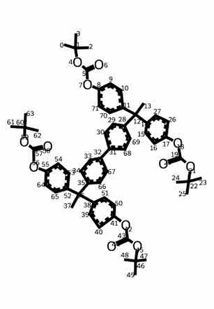 CC(C)(C)OC(=O)Oc1ccc(C(C)(c2ccc(OC(=O)OC(C)(C)C)cc2)c2ccc(-c3ccc(C(C)(c4ccc(OC(=O)OC(C)(C)C)cc4)c4ccc(OC(=O)OC(C)(C)C)cc4)cc3)cc2)cc1